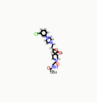 CC(C)(C)C(=O)NCC(=O)N1CCC2(CC1)C[C@H](CCN1CCN(c3cccc(Cl)c3)CC1)OC2=O